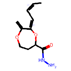 C=C1OCCC(C(=O)NN)O/C1=C/C=C\C